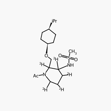 [2H]C1C([2H])N(C(C)=O)C([2H])(CO[C@H]2CC[C@@H](C(C)C)CC2)C([2H])(NS(C)(=O)=O)C1[2H]